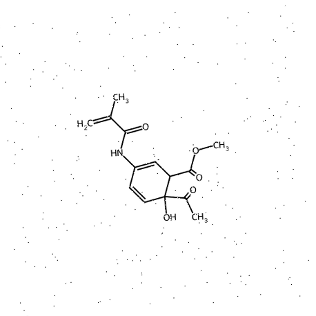 C=C(C)C(=O)NC1=CC(C(=O)OC)C(O)(C(C)=O)C=C1